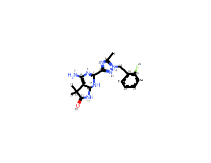 Cc1nc(C2=NC(N)=C3C(NC(=O)C3(C)C)N2)nn1Cc1ccccc1F